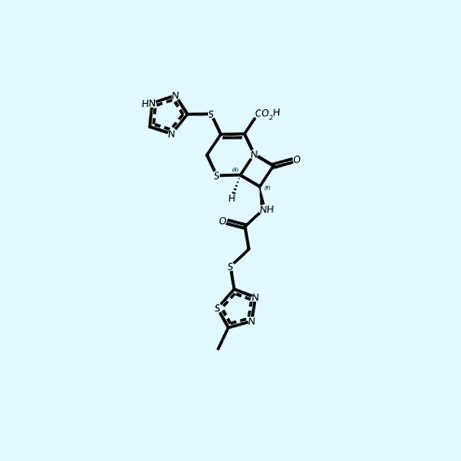 Cc1nnc(SCC(=O)N[C@@H]2C(=O)N3C(C(=O)O)=C(Sc4nc[nH]n4)CS[C@H]23)s1